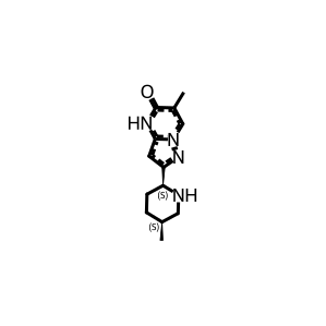 Cc1cn2nc([C@@H]3CC[C@H](C)CN3)cc2[nH]c1=O